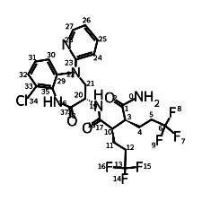 NC(=O)[C@@H](CCC(F)(F)F)[C@@H](CCC(F)(F)F)C(=O)N[C@H]1CN(c2ccccn2)c2cccc(Cl)c2NC1=O